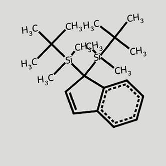 CC(C)(C)[Si](C)(C)C1([Si](C)(C)C(C)(C)C)C=Cc2ccccc21